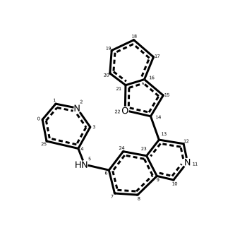 c1cncc(Nc2ccc3cncc(-c4cc5ccccc5o4)c3c2)c1